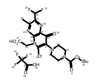 CCc1c(N2CCN(C(=O)OC(C)(C)C)CC2)c(=O)c2nc(C(F)F)c(C)nc2n1CC(=O)O.O=C(O)C(F)(F)F